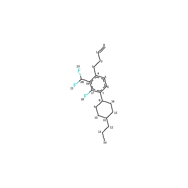 C=CCCc1ccc(C2CCC(CCC)CC2)c(F)c1C(F)F